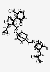 Cc1nc(NCC23CCC(OCc4c(-c5c(Cl)cccc5Cl)noc4C4CC4)(CC2)CC3)sc1CC(=O)O